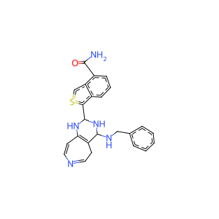 NC(=O)c1cccc2c(C3NC4=C(CC=NC=C4)C(NCc4ccccc4)N3)scc12